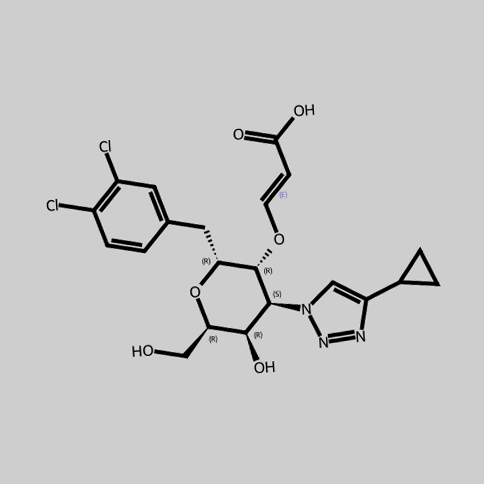 O=C(O)/C=C/O[C@@H]1[C@@H](n2cc(C3CC3)nn2)[C@@H](O)[C@@H](CO)O[C@@H]1Cc1ccc(Cl)c(Cl)c1